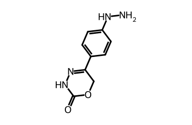 NNc1ccc(C2=NNC(=O)OC2)cc1